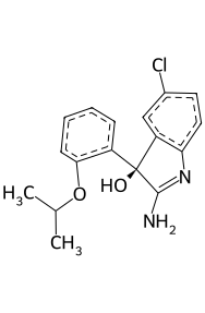 CC(C)Oc1ccccc1[C@@]1(O)C(N)=Nc2ccc(Cl)cc21